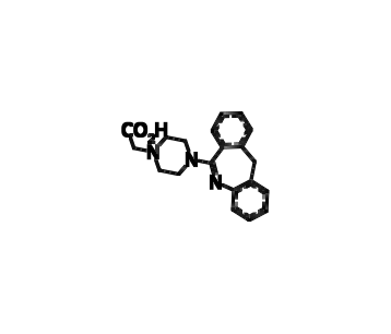 O=C(O)CN1CCN(C2=Nc3ccccc3Cc3ccccc32)CC1